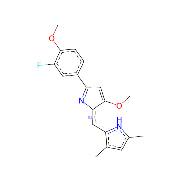 COC1=CC(c2ccc(OC)c(F)c2)=N/C1=C/c1[nH]c(C)cc1C